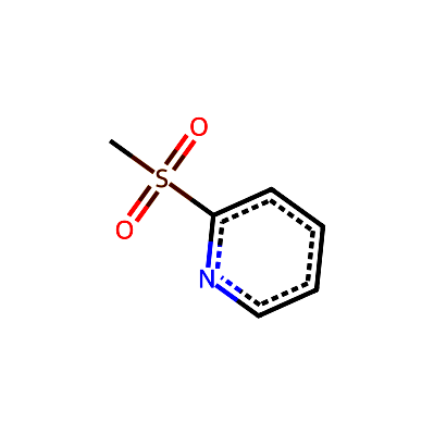 CS(=O)(=O)c1ccccn1